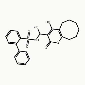 CC(C)C(NS(=O)(=O)c1ccccc1-c1ccccc1)c1c(O)c2c(oc1=O)CCCCCC2